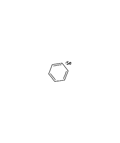 [Se].c1ccccc1